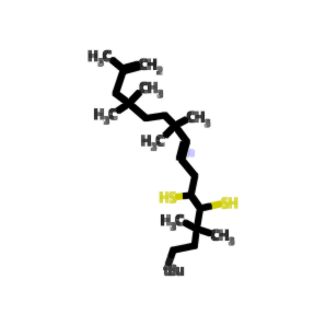 C=C(C)CC(C)(C)CCC(C)(C)/C=C/CC(S)C(S)C(C)(C)CCC(C)(C)C